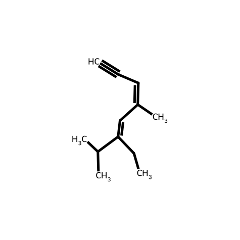 C#C/C=C(C)\C=C(/CC)C(C)C